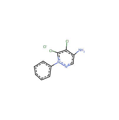 Nc1cn[n+](-c2ccccc2)c(Cl)c1Cl.[Cl-]